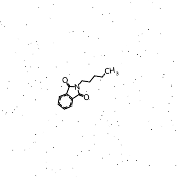 CCCCCN1C(=O)c2ccccc2C1=O